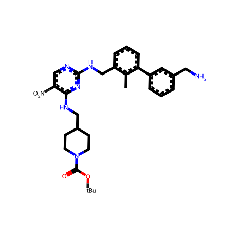 Cc1c(CNc2ncc([N+](=O)[O-])c(NCC3CCN(C(=O)OC(C)(C)C)CC3)n2)cccc1-c1cccc(CN)c1